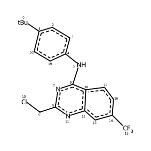 CC(C)(C)c1ccc(Nc2nc(CCl)nc3cc(C(F)(F)F)ccc23)cc1